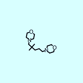 CC(C)(CCCN1CCOCC1)CN1CCOCC1